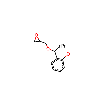 CCCC(OCC1CO1)c1ccccc1[O]